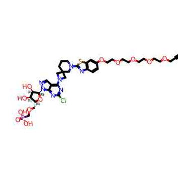 C#CCOCCOCCOCCOCCOc1ccc2nc(N3CCCC4(C3)CN(c3nc(Cl)nc5c3cnn5[C@@H]3O[C@H](COCP(=O)(O)O)[C@@H](O)[C@H]3O)C4)sc2c1